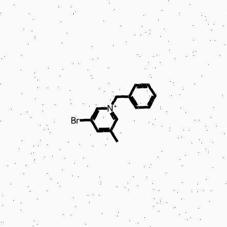 Cc1cc(Br)c[n+](Cc2ccccc2)c1